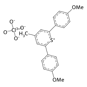 COc1ccc(-c2cc(C)cc(-c3ccc(OC)cc3)[s+]2)cc1.[O-][Cl+3]([O-])([O-])[O-]